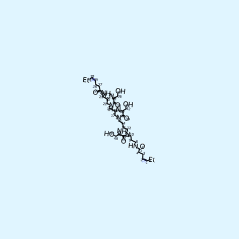 CC/C=C\CCC(=O)NCCCN(CCCCN(CCCN(CCCNC(=O)CC/C=C\CC)C(=O)[C@@H](N)CO)C(=O)[C@@H](N)CO)C(=O)[C@@H](N)CO